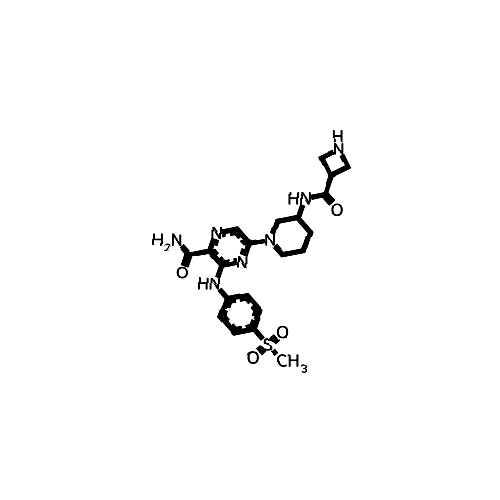 CS(=O)(=O)c1ccc(Nc2nc(N3CCCC(NC(=O)C4CNC4)C3)cnc2C(N)=O)cc1